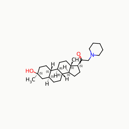 C[C@]1(O)CC[C@H]2[C@@H](CC[C@@H]3[C@@H]2CC[C@]2(C)[C@@H](C(=O)CN4CCCCC4)CC[C@@H]32)C1